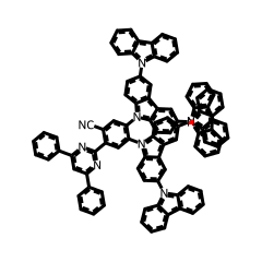 N#Cc1cc(-n2c3ccc(-n4c5ccccc5c5ccccc54)cc3c3cc(-n4c5ccccc5c5ccccc54)ccc32)c(-n2c3ccc(-n4c5ccccc5c5ccccc54)cc3c3cc(-n4c5ccccc5c5ccccc54)ccc32)cc1-c1nc(-c2ccccc2)cc(-c2ccccc2)n1